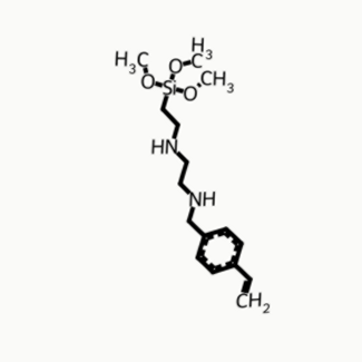 C=Cc1ccc(CNCCNCC[Si](OC)(OC)OC)cc1